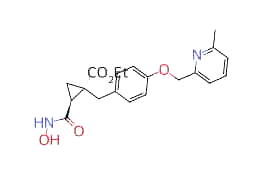 CCOC(=O)[C@@]1(Cc2ccc(OCc3cccc(C)n3)cc2)C[C@@H]1C(=O)NO